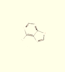 Nc1ncnc2[nH]cnc12.[Au]